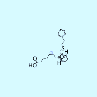 O=C(O)CCC/C=C\C[C@@H]1[C@H](CSCCc2ccccc2)[C@@H]2CC[C@H]1O2